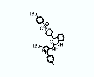 Cc1ccc(-n2nc(C(C)(C)C)cc2NC(=O)Nc2ccccc2CC2CCN(S(=O)(=O)c3ccc(C(C)(C)C)cc3)CC2)cc1